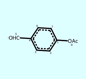 CC(=O)Oc1ccc([C]=O)cc1